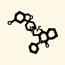 O=C(O)c1c(CN2CCC3(CC2)OCc2ccc(Cl)cc23)n(-c2ccccc2)c(=O)c2ccccc12